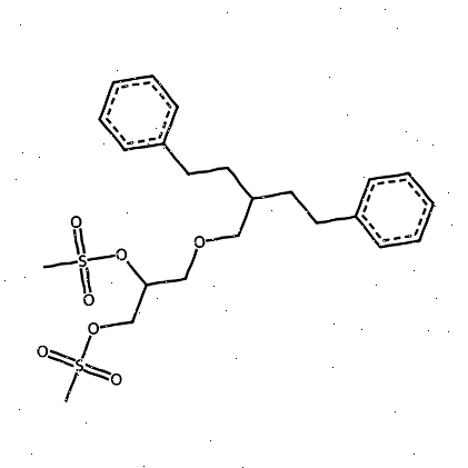 CS(=O)(=O)OCC(COCC(CCc1ccccc1)CCc1ccccc1)OS(C)(=O)=O